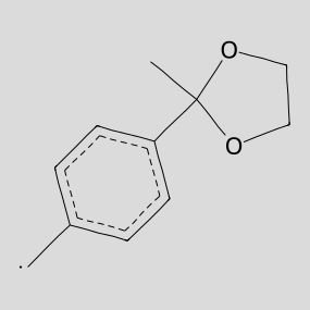 [CH2]c1ccc(C2(C)OCCO2)cc1